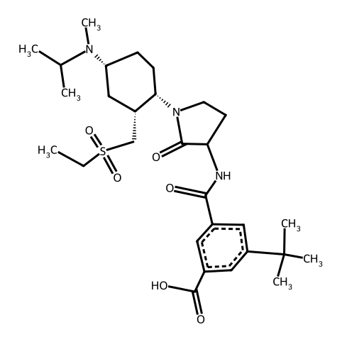 CCS(=O)(=O)C[C@@H]1C[C@H](N(C)C(C)C)CC[C@@H]1N1CCC(NC(=O)c2cc(C(=O)O)cc(C(C)(C)C)c2)C1=O